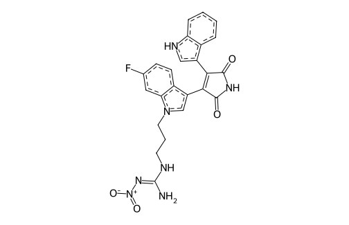 NC(=N[N+](=O)[O-])NCCCn1cc(C2=C(c3c[nH]c4ccccc34)C(=O)NC2=O)c2ccc(F)cc21